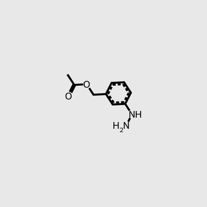 CC(=O)OCc1cccc(NN)c1